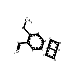 CCc1ccccc1C=O.c1cc2ccc1-2